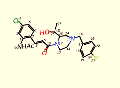 CC(=O)Nc1cc(Cl)ccc1C=CC(=O)N1CCN(Cc2ccc(F)cc2)CC1[C@H](C)O